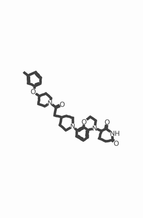 Cc1cccc(OC2CCN(C(=O)CC3CCN(c4cccc5c4OCCN5C4CCC(=O)NC4=O)CC3)CC2)c1